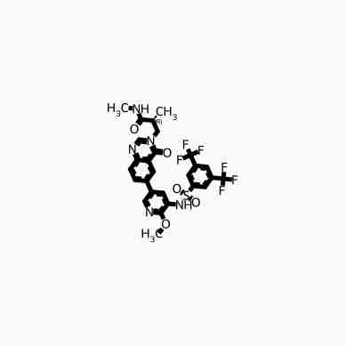 CNC(=O)[C@H](C)Cn1cnc2ccc(-c3cnc(OC)c(NS(=O)(=O)c4cc(C(F)(F)F)cc(C(F)(F)F)c4)c3)cc2c1=O